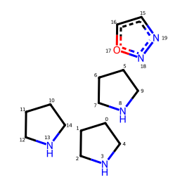 C1CCNC1.C1CCNC1.C1CCNC1.c1conn1